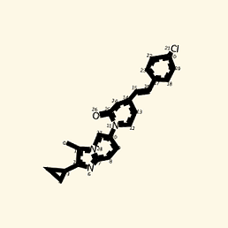 Cc1c(C2CC2)nc2ccc(-n3ccc(/C=C/c4ccc(Cl)cc4)cc3=O)cn12